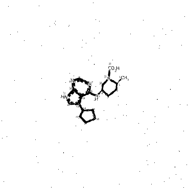 C[C@H]1CC[C@@H](Nc2ncnc3[nH]cc(C4CCCC4)c23)CN1C(=O)O